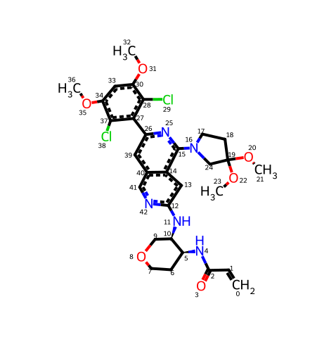 C=CC(=O)N[C@H]1CCOC[C@H]1Nc1cc2c(N3CCC(OC)(OC)C3)nc(-c3c(Cl)c(OC)cc(OC)c3Cl)cc2cn1